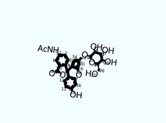 CC(=O)Nc1ccc2c(c1)C(=O)OC21c2ccc(O)cc2Oc2cc(O[C@@H]3O[C@H](CO)[C@H](O)[C@H](O)[C@H]3O)ccc21